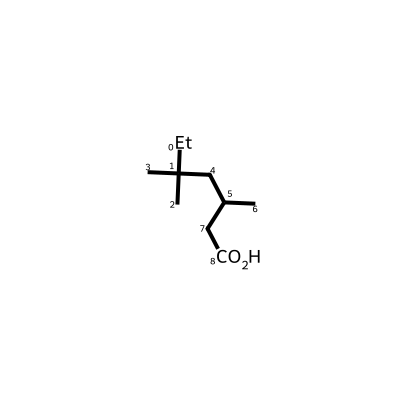 CCC(C)(C)CC(C)CC(=O)O